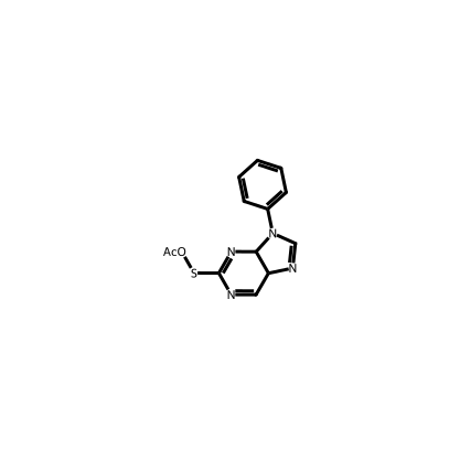 CC(=O)OSC1=NC2C(C=N1)N=CN2c1ccccc1